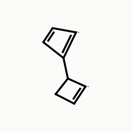 [C]1=CCC1C1=[C]C=C1